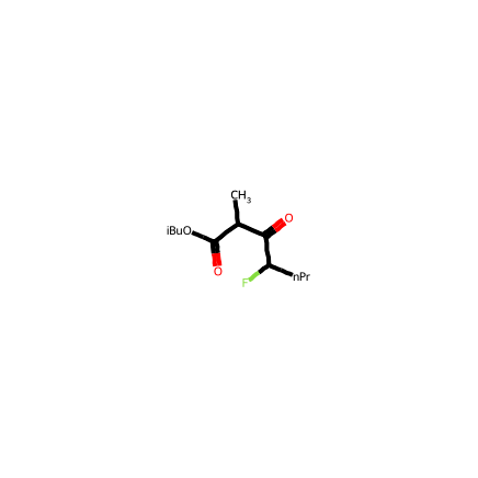 CCCC(F)C(=O)C(C)C(=O)OCC(C)C